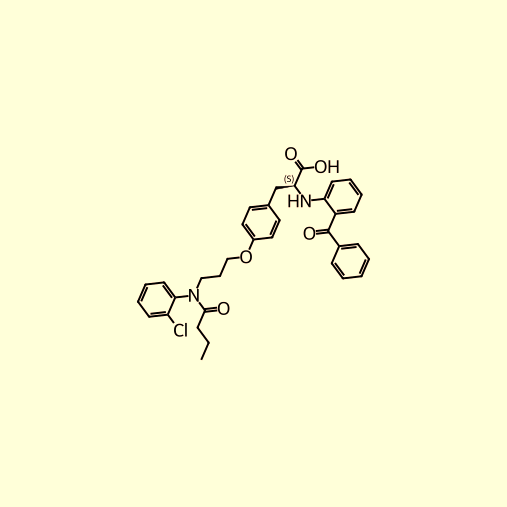 CCCC(=O)N(CCCOc1ccc(C[C@H](Nc2ccccc2C(=O)c2ccccc2)C(=O)O)cc1)c1ccccc1Cl